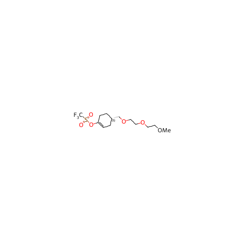 COCCOCCOC[C@@H]1CC=C(OS(=O)(=O)C(F)(F)F)CC1